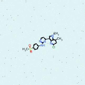 Cc1cc(Cl)nc2c(-c3ccnc(Nc4ccc(S(C)(=O)=O)cc4)n3)cn(C)c12